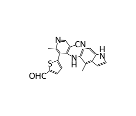 Cc1ncc(C#N)c(Nc2ccc3[nH]ccc3c2C)c1-c1ccc(C=O)s1